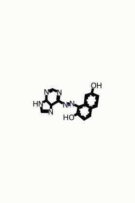 Oc1ccc2ccc(O)c(/N=N/C3=NC=NC4NC=NC34)c2c1